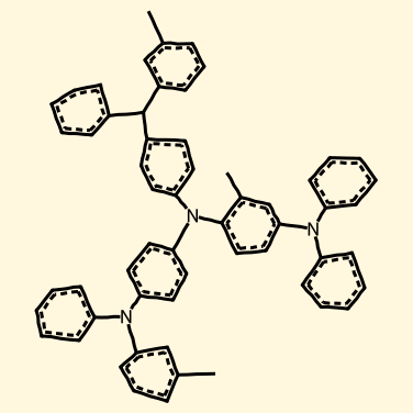 Cc1cccc(C(c2ccccc2)c2ccc(N(c3ccc(N(c4ccccc4)c4cccc(C)c4)cc3)c3ccc(N(c4ccccc4)c4ccccc4)cc3C)cc2)c1